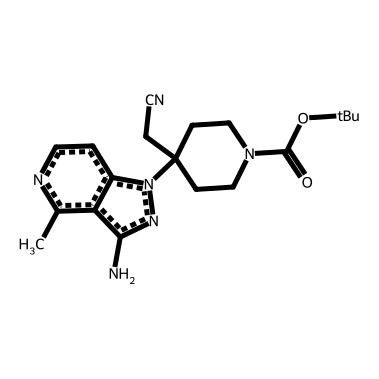 Cc1nccc2c1c(N)nn2C1(CC#N)CCN(C(=O)OC(C)(C)C)CC1